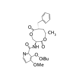 COc1ccnc(C(=O)N[C@H]2COC(=O)[C@H](Cc3ccccc3)C[C@H](C)OC2=O)c1OOCC(C)C